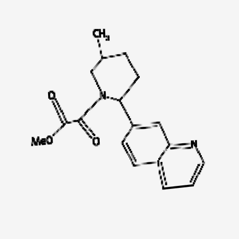 COC(=O)C(=O)N1CC(C)CCC1c1ccc2cccnc2c1